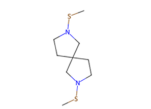 CSN1CCC2(CCN(SC)C2)C1